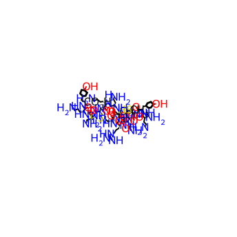 C[C@@H](O)[C@H](NC(=O)[C@H](CCN)NC(=O)[C@H](CCCNC(=N)N)NC(=O)[C@H](CC(N)=O)NC(=O)[C@@H](NC(=O)[C@H](Cc1ccc(O)cc1)NC(=O)[C@@H](N)CCN)C(C)(C)S)C(=O)N[C@H](CCN)C(=O)N[C@@H](CCCCN)C(=O)N[C@@H](CS)C(=O)N[C@@H](CCN)C(=O)N[C@@H](CCCN)C(=O)N[C@@H](Cc1ccc(O)cc1)C(=O)O